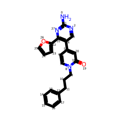 Nc1ncc(-c2ccn(CCCc3ccccc3)c(=O)c2)c(-c2ccco2)n1